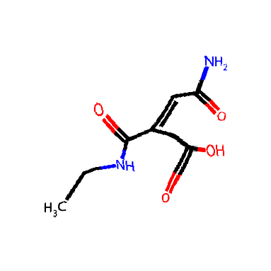 CCNC(=O)C(=CC(N)=O)C(=O)O